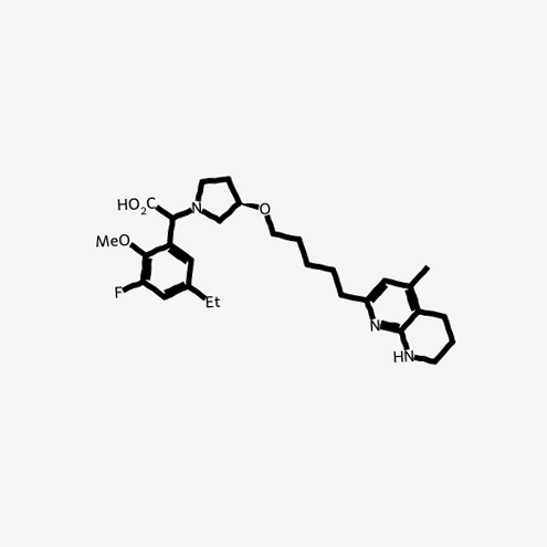 CCc1cc(F)c(OC)c(C(C(=O)O)N2CC[C@@H](OCCCCCc3cc(C)c4c(n3)NCCC4)C2)c1